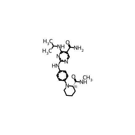 CNC(=O)[C@@H]1CCCCN1c1ccc(Nc2ncc(C(N)=O)c(NC(C)C)n2)cc1